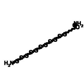 NCCOCCOCCOCCOCCOCCOCCOCCOCCOCCOCCOCCCCCCC(=O)ON